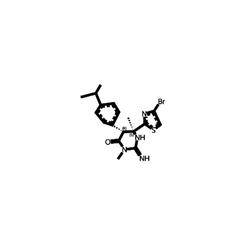 CC(C)c1ccc([C@H]2C(=O)N(C)C(=N)N[C@]2(C)c2nc(Br)cs2)cc1